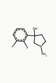 OC1(c2cccc(F)c2F)CCN(P)C1